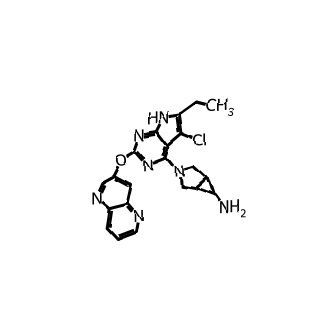 CCc1[nH]c2nc(Oc3cnc4cccnc4c3)nc(N3CC4C(N)C4C3)c2c1Cl